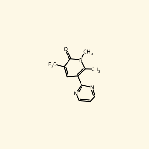 Cc1c(-c2ncccn2)cc(C(F)(F)F)c(=O)n1C